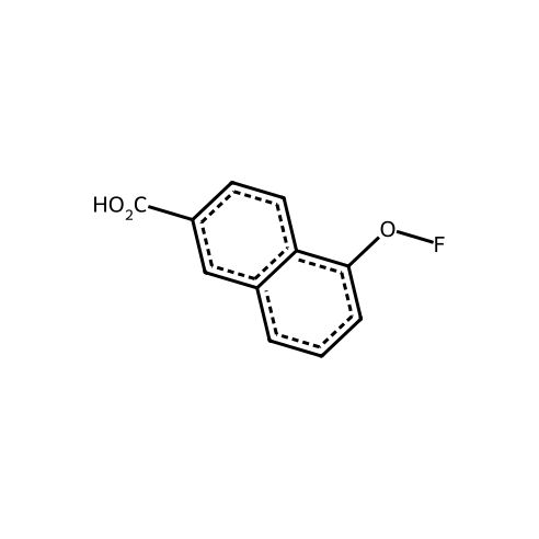 O=C(O)c1ccc2c(OF)cccc2c1